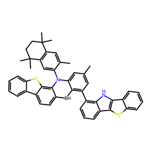 Cc1cc(-c2cccc3c2[nH]c2c4ccccc4sc32)c2c(c1)N(c1cc3c(cc1C)C(C)(C)CCC3(C)C)c1c(ccc3c1sc1ccccc13)B2